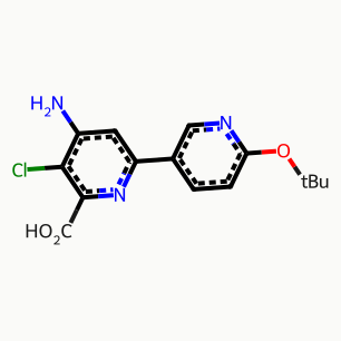 CC(C)(C)Oc1ccc(-c2cc(N)c(Cl)c(C(=O)O)n2)cn1